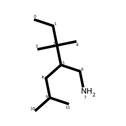 CCC(C)(C)C(CN)CC(C)C